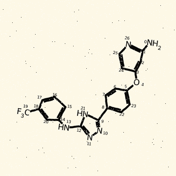 Nc1cc(Oc2ccc(-c3nnc(Nc4cccc(C(F)(F)F)c4)[nH]3)cc2)ccn1